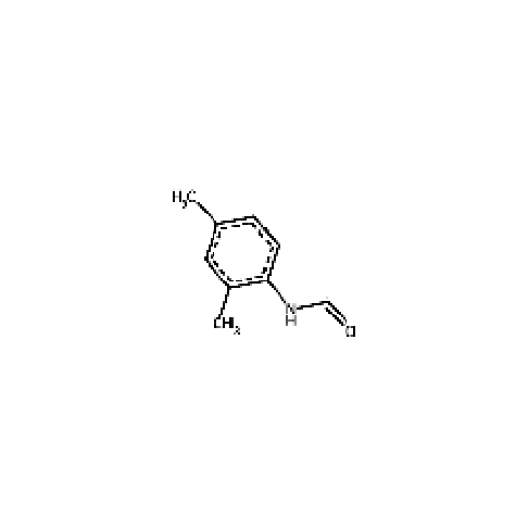 Cc1ccc(N[C]=O)c(C)c1